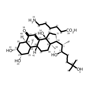 C[C@H]([C@H](O)CCC(C)(C)O)[C@H]1CC[C@@]2(O)C3=CC(=O)[C@@H]4C[C@@H](O)[C@@H](O)C[C@]4(C)[C@H]3CC[C@]12C.NCCCCCC(=O)O